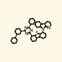 c1ccc(-c2cccc(-c3nc(-c4ccccc4)nc(-c4cccc5c4sc4c(-n6c7ccccc7c7cccnc76)cccc45)n3)c2)cc1